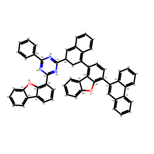 C1=c2ccccc2=C(c2ccc(-c3cc4ccccc4c4ccccc34)c3oc4ccccc4c23)CC1c1nc(-c2ccccc2)nc(-c2cccc3c2oc2ccccc23)n1